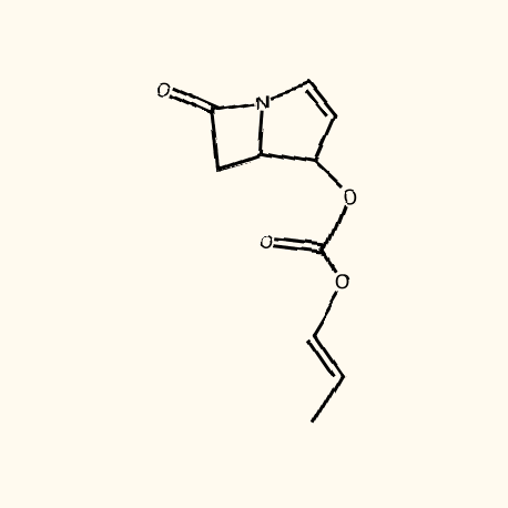 CC=COC(=O)OC1C=CN2C(=O)CC12